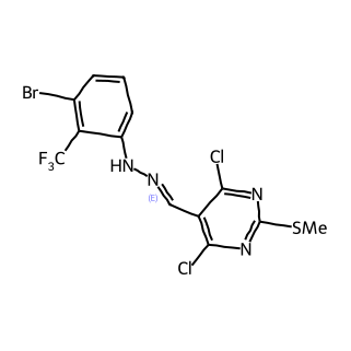 CSc1nc(Cl)c(/C=N/Nc2cccc(Br)c2C(F)(F)F)c(Cl)n1